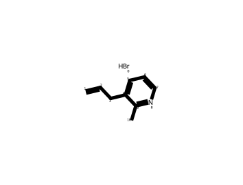 Br.C=CCc1cccnc1C